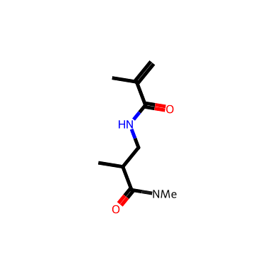 C=C(C)C(=O)NCC(C)C(=O)NC